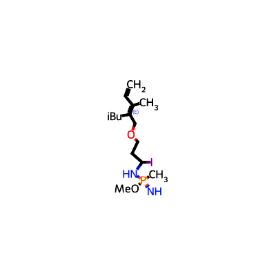 C=C/C(C)=C(/COCCC(I)NP(C)(=N)OC)C(C)CC